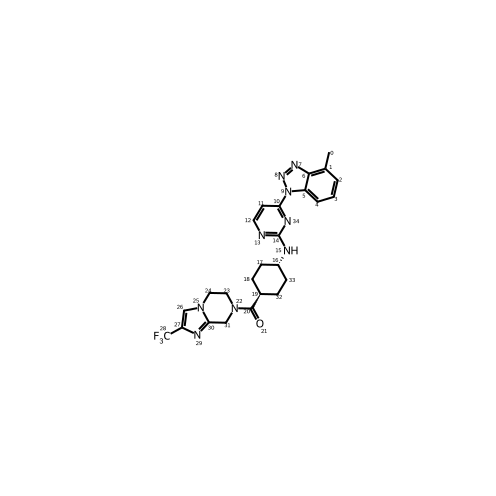 Cc1cccc2c1nnn2-c1ccnc(N[C@H]2CC[C@H](C(=O)N3CCn4cc(C(F)(F)F)nc4C3)CC2)n1